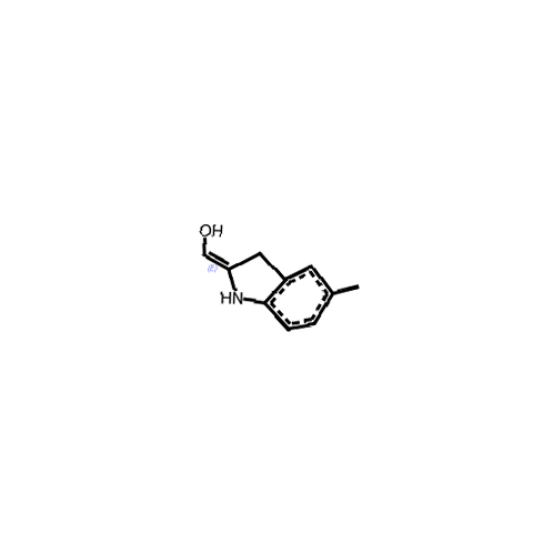 Cc1ccc2c(c1)C/C(=C\O)N2